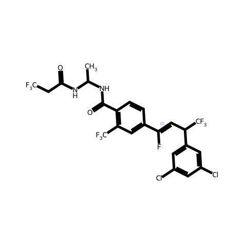 CC(NC(=O)CC(F)(F)F)NC(=O)c1ccc(/C(F)=C/C(c2cc(Cl)cc(Cl)c2)C(F)(F)F)cc1C(F)(F)F